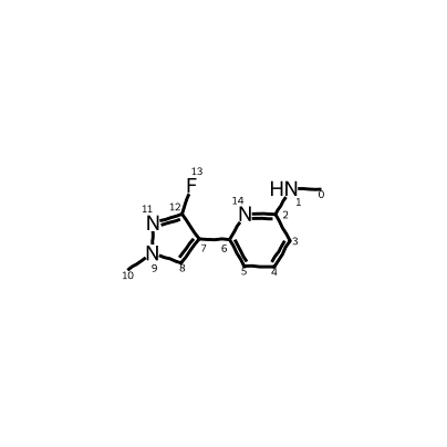 CNc1cccc(-c2cn(C)nc2F)n1